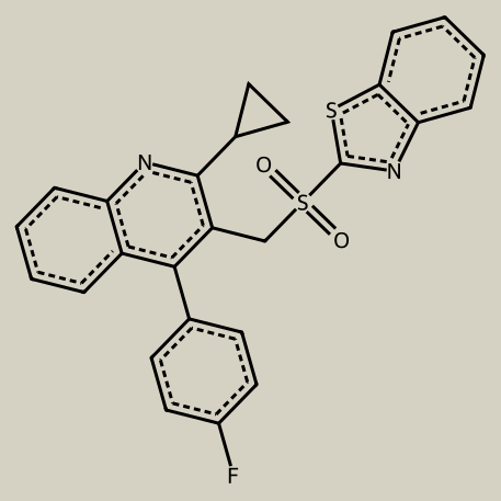 O=S(=O)(Cc1c(C2CC2)nc2ccccc2c1-c1ccc(F)cc1)c1nc2ccccc2s1